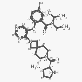 CCN(C(=O)c1cc(F)ccc1Oc1cncnc1N1CC2(CCN(C(=O)[C@H]3NCC[C@@H]3C)CC2)C1)C(C)C